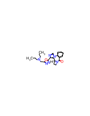 CCCN(CCC)Cc1nnc(-c2ncn3c2[C@@H]2CCN2C(=O)c2ccccc2-3)o1